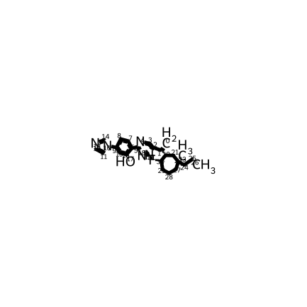 C=C(c1cnc(-c2ccc(-n3ccnc3)cc2O)nn1)[C@@H]1C[C@](C)(CCC)CCC[C@H]1F